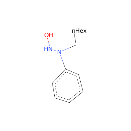 CCCCCCCN(NO)c1ccccc1